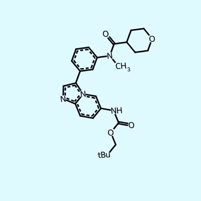 CN(C(=O)C1CCOCC1)c1cccc(-c2cnc3ccc(NC(=O)OCC(C)(C)C)cn23)c1